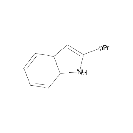 CCCC1=CC2C=CC=CC2N1